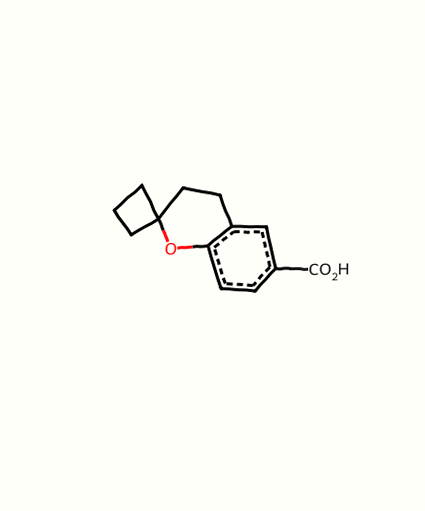 O=C(O)c1ccc2c(c1)CCC1(CCC1)O2